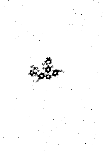 CC1(C)CCN(c2c(F)cc(N3[C@H](c4ccc(N)cc4)CC[C@H]3c3ccc(NC(=O)C4CCCN4C(=O)O)c(N)c3)cc2F)[SiH2]C1